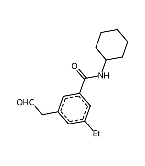 CCc1cc(CC=O)cc(C(=O)NC2CCCCC2)c1